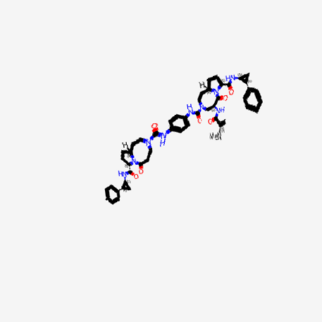 CN[C@@H](C)C(=O)N[C@H]1CN(C(=O)Nc2ccc(NC(=O)N3CCC(=O)N4[C@H](CC[C@H]4C(=O)N[C@H]4C[C@@H]4c4ccccc4)CC3)cc2)CC[C@H]2CC[C@@H](C(=O)N[C@H]3C[C@@H]3c3ccccc3)N2C1=O